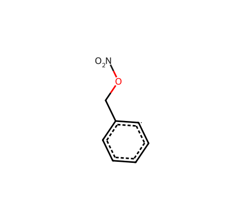 O=[N+]([O-])OCc1[c]cccc1